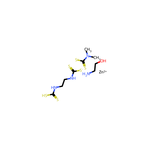 CN(C)C(=S)[S-].NCCO.S=C([S-])NCCNC(=S)S.[Zn+2]